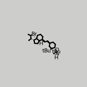 CC(Br)C(C)[C@H]1CC[C@H]2/C(=C/C=C3/CCC(O[SiH](C)C)C(C(C)(C)C)(C(C)(C)C)C3)CCC[C@]12C